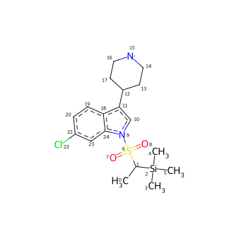 CC([Si](C)(C)C)S(=O)(=O)n1cc(C2CC[N]CC2)c2ccc(Cl)cc21